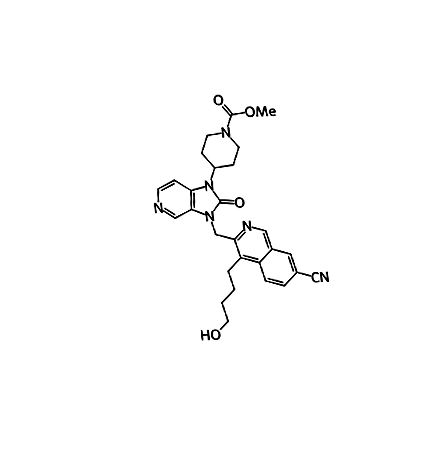 COC(=O)N1CCC(n2c(=O)n(Cc3ncc4cc(C#N)ccc4c3CCCCO)c3cnccc32)CC1